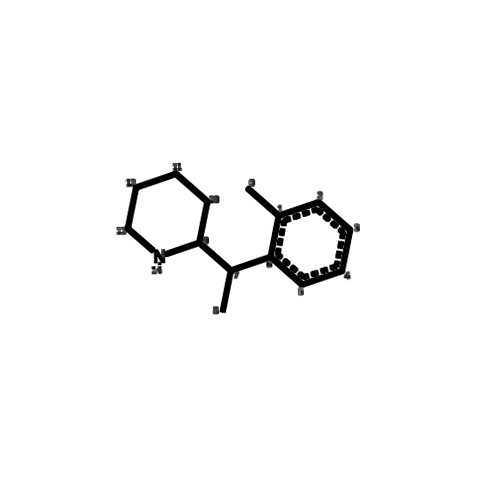 Cc1ccccc1C(C)C1CCCC[N]1